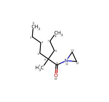 CCCCC(C)(CCC)C(=O)N1CC1